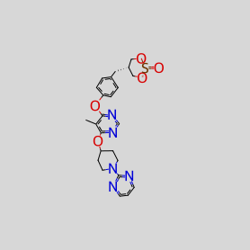 Cc1c(Oc2ccc(C[C@H]3CO[S@@](=O)OC3)cc2)ncnc1OC1CCN(c2ncccn2)CC1